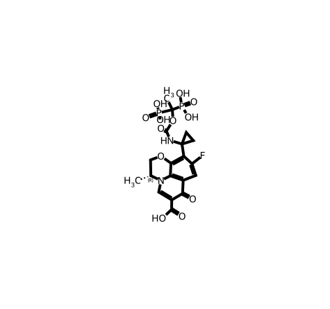 C[C@@H]1COc2c(C3(NC(=O)OC(C)(P(=O)(O)O)P(=O)(O)O)CC3)c(F)cc3c(=O)c(C(=O)O)cn1c23